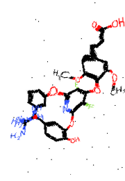 COc1cc(CCC(=O)O)cc(OC)c1Oc1c(F)c(Oc2cccc(NC(=N)N)c2)nc(Oc2cc(C(=N)N)ccc2O)c1F